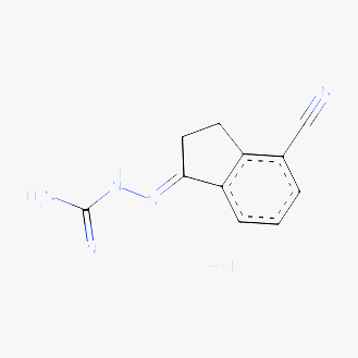 Cl.N#Cc1cccc2c1CCC2=NNC(=N)N